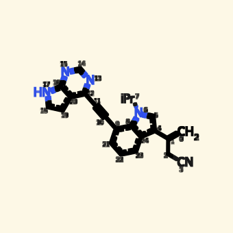 C=C(CC#N)c1cn(C(C)C)c2c(C#Cc3ncnc4[nH]ccc34)cccc12